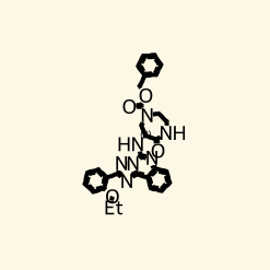 CCOc1ccccc1-c1nc2c3ccccc3nc(N[C@@H]3CN(C(=O)OCc4ccccc4)CCNC3=O)n2n1